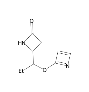 CCC(OC1=NC=C1)C1CC(=O)N1